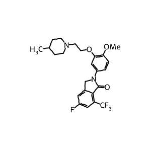 COc1ccc(N2Cc3cc(F)cc(C(F)(F)F)c3C2=O)cc1OCCN1CCC(C)CC1